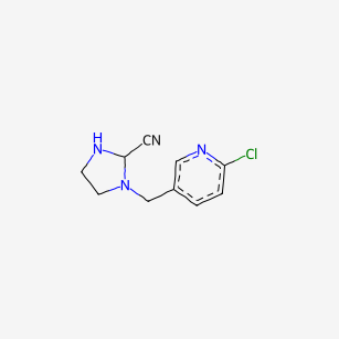 N#CC1NCCN1Cc1ccc(Cl)nc1